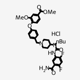 CCCCN(C(=O)Nc1cc(C(N)=O)c(F)cc1F)C1CCN(Cc2ccc(Oc3ccc(C(=O)OC)cc3OC)cc2)CC1.Cl